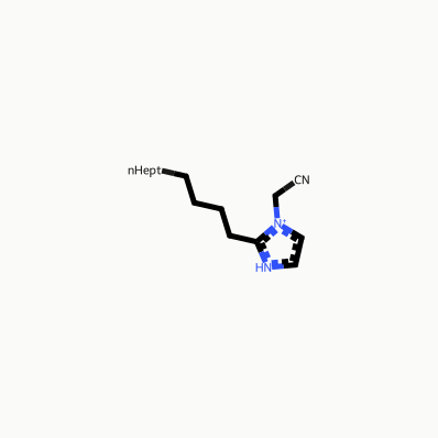 CCCCCCCCCCCc1[nH]cc[n+]1CC#N